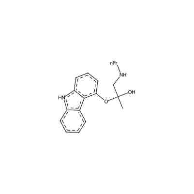 CCCNCC(C)(O)Oc1cccc2[nH]c3ccccc3c12